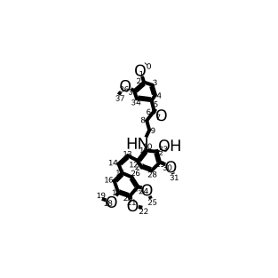 COc1ccc(C(=O)CCNc2c(/C=C\c3cc(OC)c(OC)c(OC)c3)ccc(OC)c2O)cc1OC